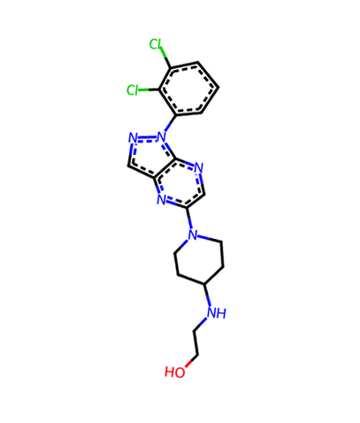 OCCNC1CCN(c2cnc3c(cnn3-c3cccc(Cl)c3Cl)n2)CC1